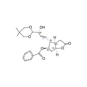 CC1(C)COC([C@H](O)/C=C/[C@@H]2[C@H]3CC(=O)O[C@H]3C[C@H]2OC(=O)c2ccccc2)OC1